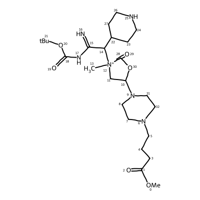 COC(=O)CCCN1CCN(C2C[N+](C)(C(C(=N)NC(=O)OC(C)(C)C)C3CCNCC3)C(=O)O2)CC1